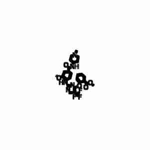 COC(=O)c1ccccc1Oc1nc(Nc2ccc(C(=O)NC3CCN(C)CC3)cc2OC)ncc1C(F)(F)F